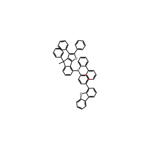 CC1(c2ccccc2)c2cccc(N(c3ccc(-c4cccc5c4oc4ccccc45)cc3)c3ccccc3-c3ccccc3)c2-c2oc(-c3ccccc3)c(-c3ccccc3)c21